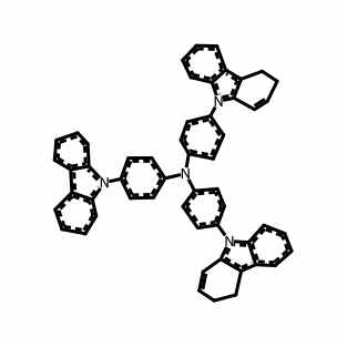 C1=Cc2c(c3ccccc3n2-c2ccc(N(c3ccc(-n4c5c(c6ccccc64)CCC=C5)cc3)c3ccc(-n4c5ccccc5c5ccccc54)cc3)cc2)CC1